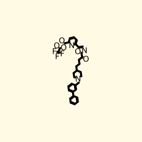 O=C(OC(=O)C(F)(F)F)c1cccc(-c2cnc(C(=O)CCCC3CCN(Cc4cccc(-c5ccccc5)c4)CC3)o2)n1